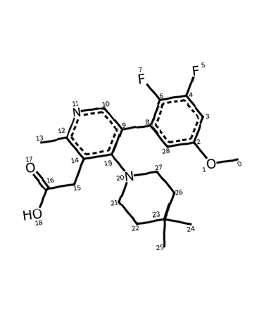 COc1cc(F)c(F)c(-c2cnc(C)c(CC(=O)O)c2N2CCC(C)(C)CC2)c1